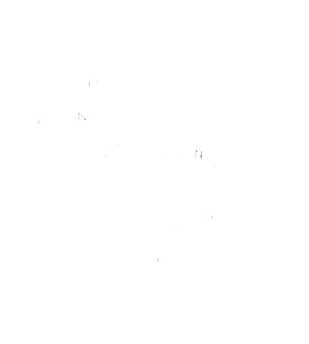 CCOC(=O)c1c(C)cc([N+](=O)[O-])c(CC)c1N